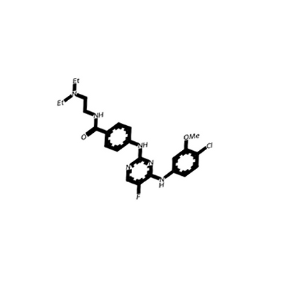 CCN(CC)CCNC(=O)c1ccc(Nc2ncc(F)c(Nc3ccc(Cl)c(OC)c3)n2)cc1